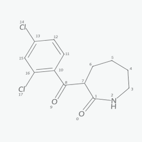 O=C1NCCCCC1C(=O)c1ccc(Cl)cc1Cl